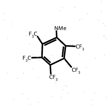 CNc1c(C(F)(F)F)c(C(F)(F)F)c(C(F)(F)F)c(C(F)(F)F)c1C(F)(F)F